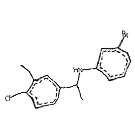 Cc1cc(C(C)Nc2cccc(Br)c2)ccc1Cl